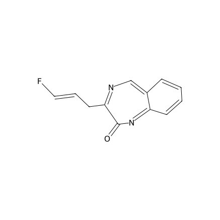 O=c1nc2ccccc2cnc1CC=CF